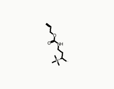 [CH2]C(CCNC(=O)OCC=C)[N+](C)(C)C